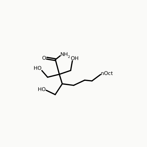 CCCCCCCCCCCC(CO)C(CO)(CO)C(N)=O